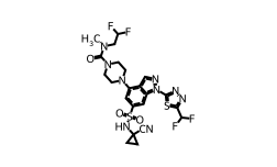 CN(CC(F)F)C(=O)N1CCN(c2cc(S(=O)(=O)NC3(C#N)CC3)cc3c2cnn3-c2nnc(C(F)F)s2)CC1